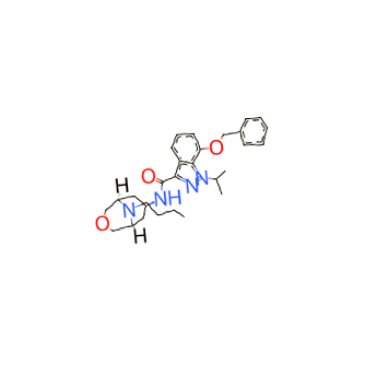 CCCCN1[C@@H]2COC[C@H]1C[C@@H](NC(=O)c1nn(C(C)C)c3c(OCc4ccccc4)cccc13)C2